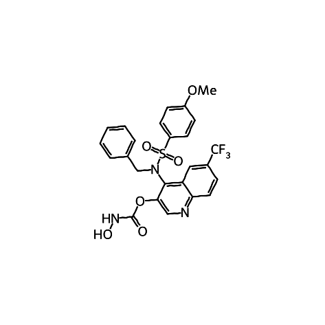 COc1ccc(S(=O)(=O)N(Cc2ccccc2)c2c(OC(=O)NO)cnc3ccc(C(F)(F)F)cc23)cc1